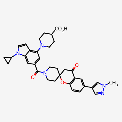 Cn1cc(-c2ccc3c(c2)C(=O)CC2(CCN(C(=O)c4cc(N5CCC(C(=O)O)CC5)c5ccn(C6CC6)c5c4)CC2)O3)cn1